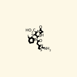 Nc1nc(CC(=O)NC2S[C@@H]3CC(=O)N3C(C(=O)O)=C2Sc2ccccc2I)cs1